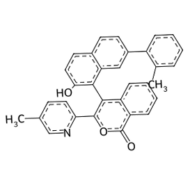 Cc1ccc(-c2oc(=O)c3ccccc3c2-c2c(O)ccc3ccc(-c4ccccc4C)cc23)nc1